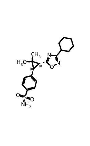 CC1(C)[C@H](c2ccc(S(N)(=O)=O)cc2)[C@H]1c1nc(C2CCCCC2)no1